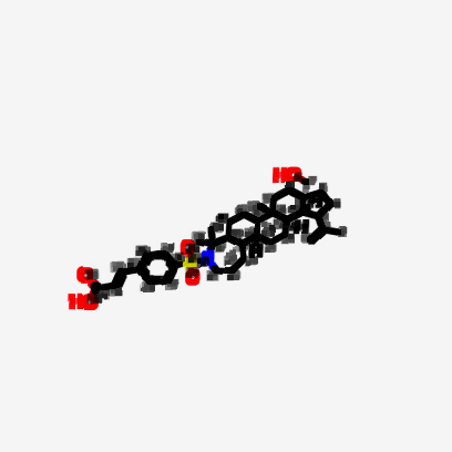 C=C(C)C1CC[C@]2(CO)CC[C@]3(C)[C@H](CC[C@@H]4[C@@]5(C)CCCN(S(=O)(=O)c6ccc(/C=C/C(=O)O)cc6)C(C)(C)C5CC[C@]43C)[C@@H]12